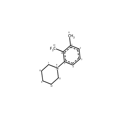 Cc1cccc(N2CCCCC2)c1C(F)(F)F